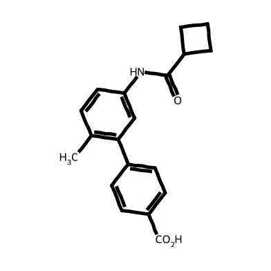 Cc1ccc(NC(=O)C2CCC2)cc1-c1ccc(C(=O)O)cc1